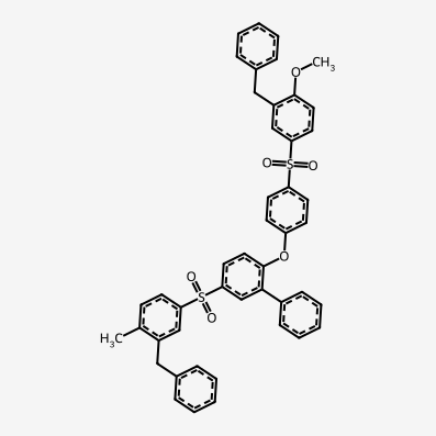 COc1ccc(S(=O)(=O)c2ccc(Oc3ccc(S(=O)(=O)c4ccc(C)c(Cc5ccccc5)c4)cc3-c3ccccc3)cc2)cc1Cc1ccccc1